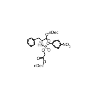 CCCCCCCCCCOC(=O)COP(=O)(N[C@@H](Cc1ccccc1)C(=O)OCCCCCCCCCC)Oc1ccc([N+](=O)[O-])cc1